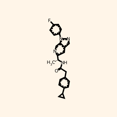 C[C@@H](NC(=O)Cc1ccc(C2CC2)cc1)c1cc2cnn(-c3ccc(F)cc3)c2cn1